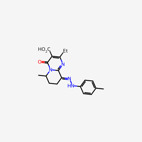 CCc1nc2n(c(=O)c1C(=O)O)C(C)CCC2=NNc1ccc(C)cc1